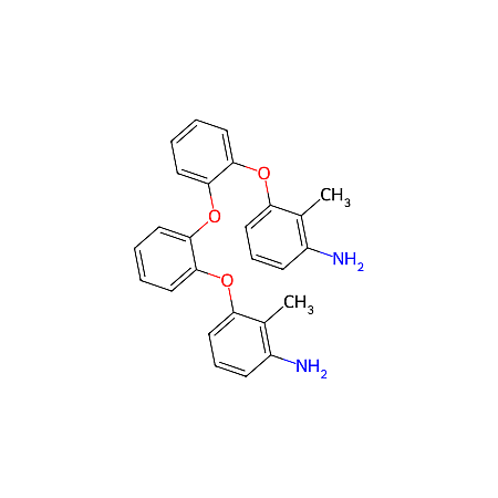 Cc1c(N)cccc1Oc1ccccc1Oc1ccccc1Oc1cccc(N)c1C